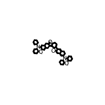 COc1ccccc1N(c1ccccc1)c1ccc2cc3c(cc2c1)oc1c3ccc2oc3cc4cc(N(c5ccccc5)c5ccccc5OC)ccc4cc3c21